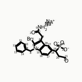 NC(=O)Cc1c(Br)n(Cc2ccccc2)c2ccc(C(CC=O)P(=O)([O-])[O-])cc12.[Na+].[Na+]